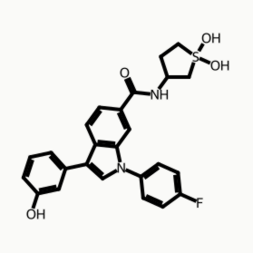 O=C(NC1CCS(O)(O)C1)c1ccc2c(-c3cccc(O)c3)cn(-c3ccc(F)cc3)c2c1